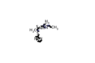 C\C=C(/C=N\C=C/CC)CNC(=S)/C(C)=C/SCc1cnn2cccnc12